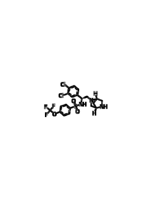 O=S(=O)(N[C@H](CN1C[C@@H]2C[C@H]1CN2)c1ccc(Cl)c(Cl)c1)c1ccc(OC(F)(F)F)cc1